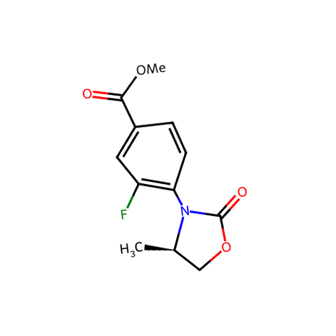 COC(=O)c1ccc(N2C(=O)OC[C@H]2C)c(F)c1